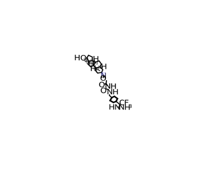 C[C@]12CC/C(=N\OCC(=O)NC(=O)NCc3ccc(C4(C(F)(F)F)NN4)cc3)C[C@@H]1CC[C@@H]1[C@@H]2CC[C@]2(C)[C@@H](O)CC[C@@H]12